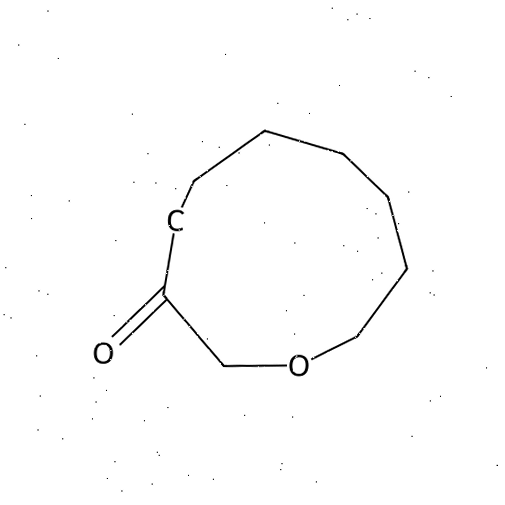 O=C1CCCCCCCOC1